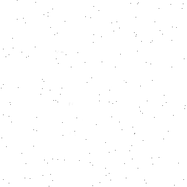 COCCc1cc([N+](=O)[O-])ccc1NS(C)(=O)=O